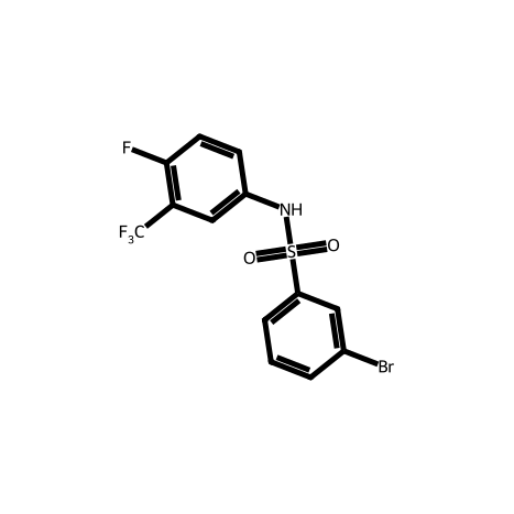 O=S(=O)(Nc1ccc(F)c(C(F)(F)F)c1)c1cccc(Br)c1